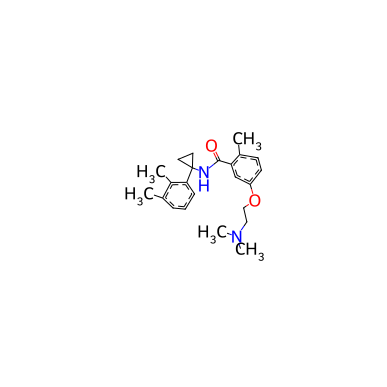 Cc1ccc(OCCN(C)C)cc1C(=O)NC1(c2cccc(C)c2C)CC1